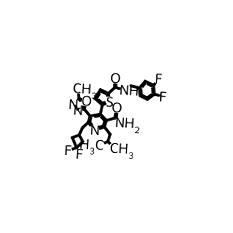 Cc1nnc(-c2c(CC3CC(F)(F)C3)nc(CC(C)C)c(C(N)=O)c2-c2ccc(C(=O)NCc3ccc(F)c(F)c3)s2)o1